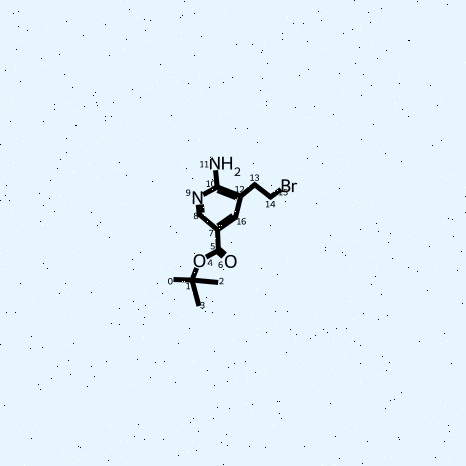 CC(C)(C)OC(=O)c1cnc(N)c(CCBr)c1